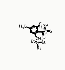 CCN(CC)CC.Cc1cc(C)c(C(=O)[PH](=S)S)c(C)c1